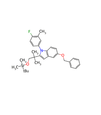 Cc1cc(-n2c(C(C)(C)CO[Si](C)(C)C(C)(C)C)cc3cc(OCc4ccccc4)ccc32)ccc1F